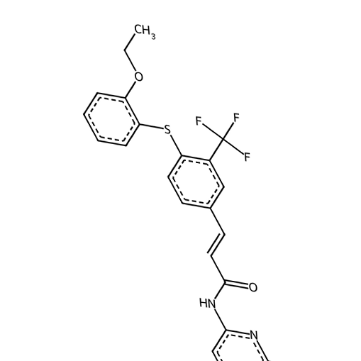 CCOc1ccccc1Sc1ccc(C=CC(=O)Nc2cccc(C)n2)cc1C(F)(F)F